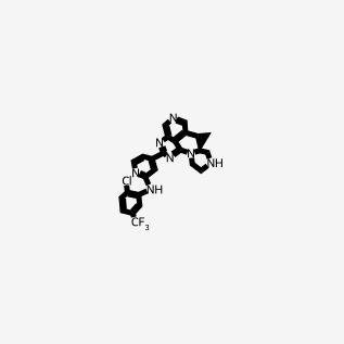 FC(F)(F)c1ccc(Cl)c(Nc2cc(-c3nc(N4CCNCC4)c4c(C5CC5)cncc4n3)ccn2)c1